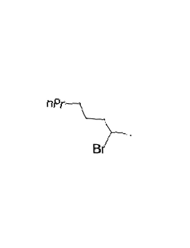 [CH2]C(Br)CCCCCC